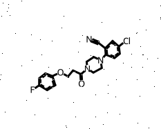 N#Cc1cc(Cl)ccc1N1CCN(C(=O)CCOc2ccc(F)cc2)CC1